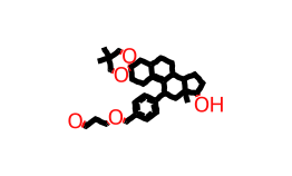 CC1(C)COC2(CCC3=C4C(c5ccc(COCCC=O)cc5)CC5(C)C(O)CCC5C4CCC3C2)OC1